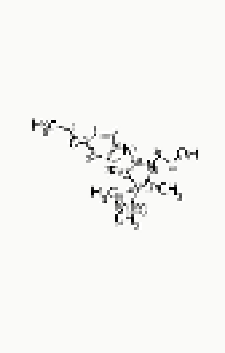 CCOc1ccc(/N=c2\sc(C(=O)N(C)C)c(C)n2CCO)c(F)c1